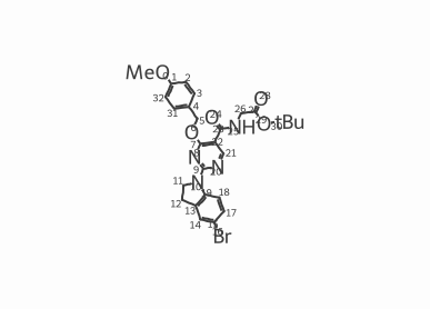 COc1ccc(COc2nc(N3CCc4cc(Br)ccc43)ncc2C(=O)NCC(=O)OC(C)(C)C)cc1